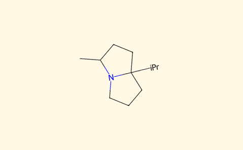 CC1CCC2(C(C)C)CCCN12